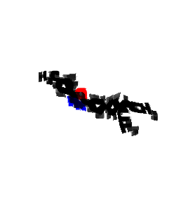 CCC(C)c1ccc(-c2ccc(-c3nnc(-c4ccc(C)cc4)o3)cc2)cc1